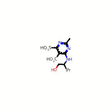 Cc1nc(NC(CO)C(C)C)c(C(=O)O)c(S(=O)(=O)O)n1